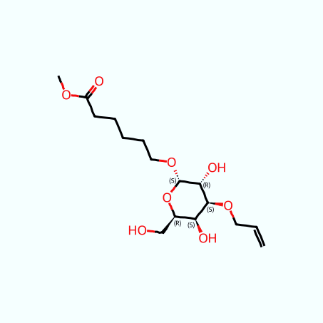 C=CCO[C@H]1[C@@H](O)[C@@H](CO)O[C@H](OCCCCCC(=O)OC)[C@@H]1O